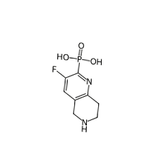 O=P(O)(O)c1nc2c(cc1F)CNCC2